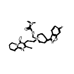 Cc1nc2n(c(=O)c1CC[N+]1(COC(=O)N(C)C)CCC(c3noc4cc(F)ccc34)CC1)CCCC2